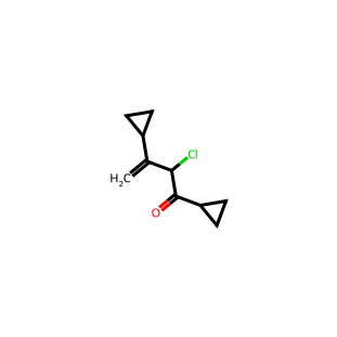 C=C(C1CC1)C(Cl)C(=O)C1CC1